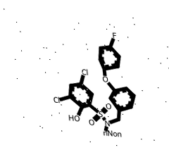 CCCCCCCCCN(Cc1cccc(Oc2ccc(F)cc2)c1)S(=O)(=O)c1cc(Cl)cc(Cl)c1O